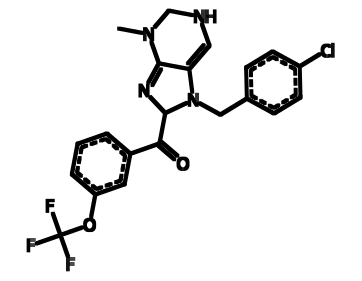 CN1CNC=C2C1=NC(C(=O)c1cccc(OC(F)(F)F)c1)N2Cc1ccc(Cl)cc1